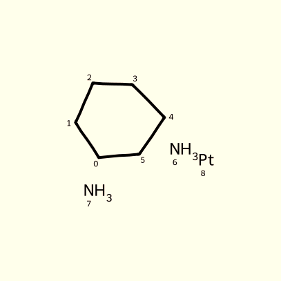 C1CCCCC1.N.N.[Pt]